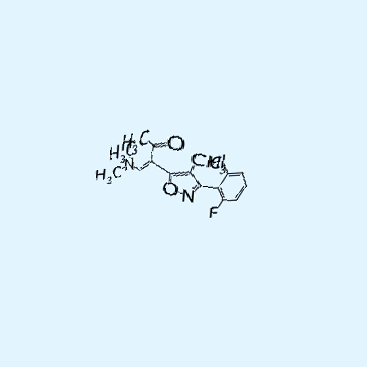 CC(=O)/C(=C\N(C)C)c1onc(-c2c(F)cccc2Cl)c1C